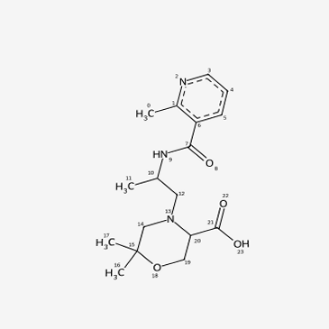 Cc1ncccc1C(=O)NC(C)CN1CC(C)(C)OCC1C(=O)O